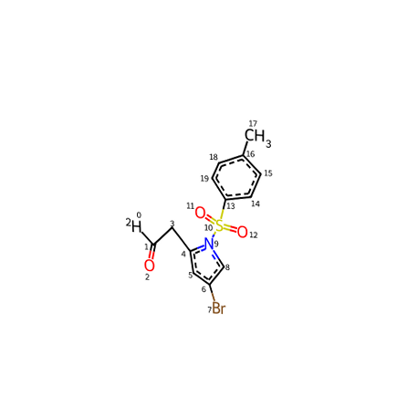 [2H]C(=O)Cc1cc(Br)cn1S(=O)(=O)c1ccc(C)cc1